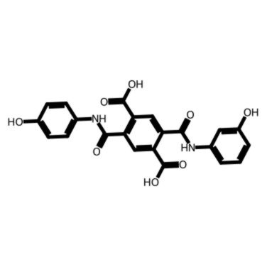 O=C(O)c1cc(C(=O)Nc2cccc(O)c2)c(C(=O)O)cc1C(=O)Nc1ccc(O)cc1